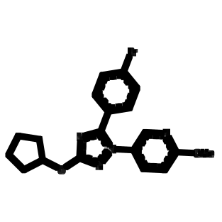 COc1ccc(-n2nc(OC3CCCC3)nc2-c2ccc(Br)cc2)cn1